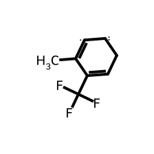 CC1=[C][C]CC=C1C(F)(F)F